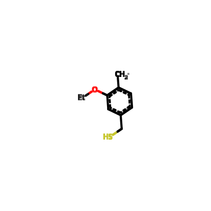 [CH2]c1ccc(CS)cc1OCC